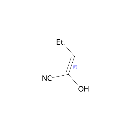 CC/C=C(/O)C#N